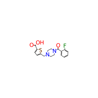 O=C(O)c1ccc(CN2CCN(C(=O)c3ccccc3F)CC2)s1